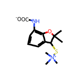 CC1(C)Oc2c(NC(=O)[O-])cccc2C1S[N+](C)(C)C